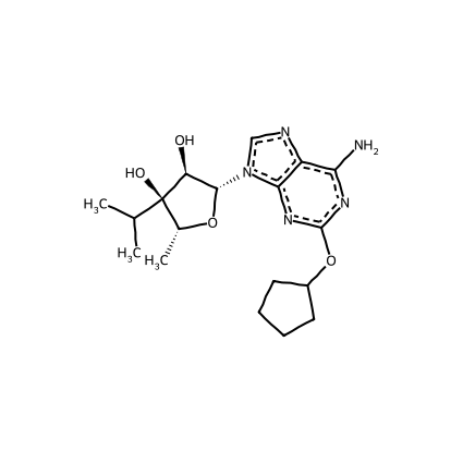 CC(C)[C@@]1(O)[C@@H](C)O[C@@H](n2cnc3c(N)nc(OC4CCCC4)nc32)[C@@H]1O